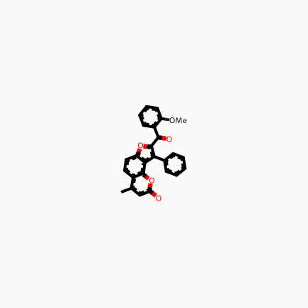 COc1ccccc1C(=O)c1oc2ccc3c(C)cc(=O)oc3c2c1-c1ccccc1